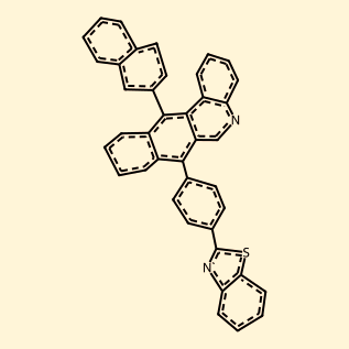 c1ccc2cc(-c3c4ccccc4c(-c4ccc(-c5nc6ccccc6s5)cc4)c4cnc5ccccc5c34)ccc2c1